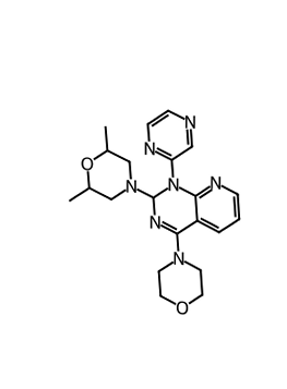 CC1CN(C2N=C(N3CCOCC3)c3cccnc3N2c2cnccn2)CC(C)O1